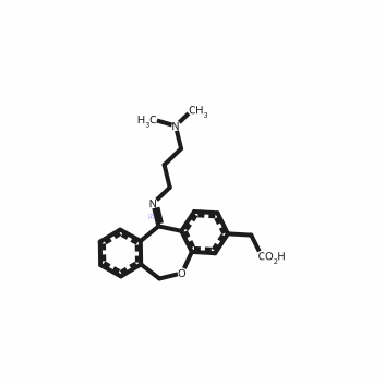 CN(C)CCC/N=C1/c2ccccc2COc2cc(CC(=O)O)ccc21